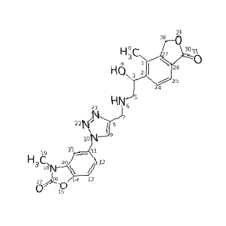 Cc1c(C(O)CNCc2cn(-c3ccc4oc(=O)n(C)c4c3)nn2)ccc2c1COC2=O